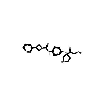 CCOCC(=O)[C@@]1(Oc2ccc(NC(=O)N3CC(c4cccnc4)C3)cc2)CCNC1